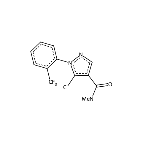 CNC(=O)c1cnn(-c2ccccc2C(F)(F)F)c1Cl